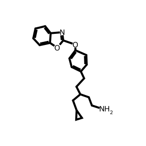 NCCC(CCc1ccc(Oc2nc3ccccc3o2)cc1)CC1CC1